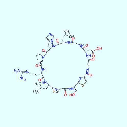 CC(C)C[C@@H]1NC(=O)CNC(=O)[C@H](CC(=O)O)NC(=O)CNC(=O)c2csc(n2)[C@@H](CO)NC(=O)c2csc(n2)[C@@H](CC(C)C)NC(=O)[C@H](CCCN=C(N)N)NC(=O)[C@@H]2CCCN2C(=O)[C@H](Cc2cnc[nH]2)NC1=O